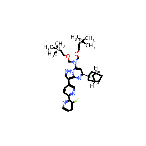 C[Si](C)(C)CCOCN(COCC[Si](C)(C)C)c1cc([C@H]2C[C@@H]3CC[C@@H](C3)C2)nc2c(-c3ccc(-c4ncccc4F)nc3)cnn12